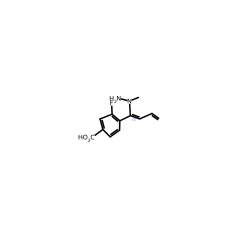 C=C/C=C(/c1ccc(C(=O)O)cc1F)N(C)N